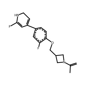 C=C(C)N1CC(COc2ccc(C3=CCNC(F)=C3)cc2F)C1